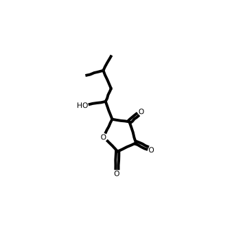 CC(C)CC(O)C1OC(=O)C(=O)C1=O